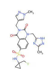 Cc1n[nH]c(Cn2c(=O)n(Cc3cnn(C)c3)c(=O)c3cc(S(=O)(=O)NC4(CF)CC4)ccc32)n1